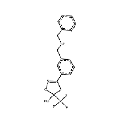 OC1(C(F)(F)F)CC(c2cccc(CNCc3ccccc3)c2)=NO1